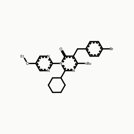 CCCCc1nc(C2CCCCC2)n(-c2ncc(OCC)cn2)c(=O)c1Cc1ccc(Br)cc1